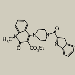 CCOC(=O)c1c(N2CCN(C(=O)C3=Nc4ccccc4C3)CC2)c2ccccc2n(C)c1=O